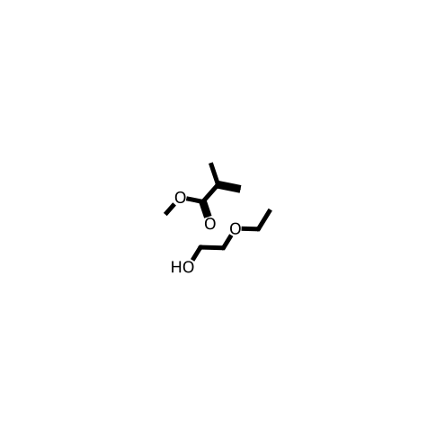 C=C(C)C(=O)OC.CCOCCO